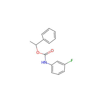 CC(OC(=O)Nc1cccc(F)c1)c1ccccc1